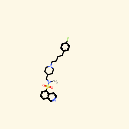 CN(CC1CCN(CCCCc2ccc(F)cc2)CC1)S(=O)(=O)c1cccc2cnccc12